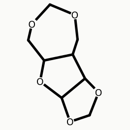 C1OCC2OC3OCOC3C2CO1